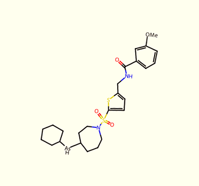 COc1cccc(C(=O)NCc2ccc(S(=O)(=O)N3CCCC([AsH]C4CCCCC4)CC3)s2)c1